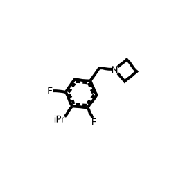 CC(C)c1c(F)cc(CN2CCC2)cc1F